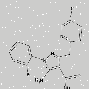 NC(=O)c1c(Cc2ccc(Cl)cn2)nn(-c2ccccc2Br)c1N